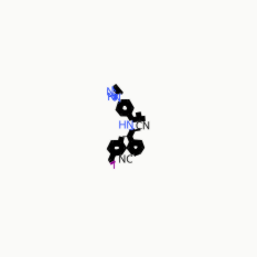 C[C@H](NC(c1ccc(-n2ccnn2)cc1)C(C)(C)C#N)[C@@H](Cc1ccc(CI)cc1)c1cccc(C#N)c1